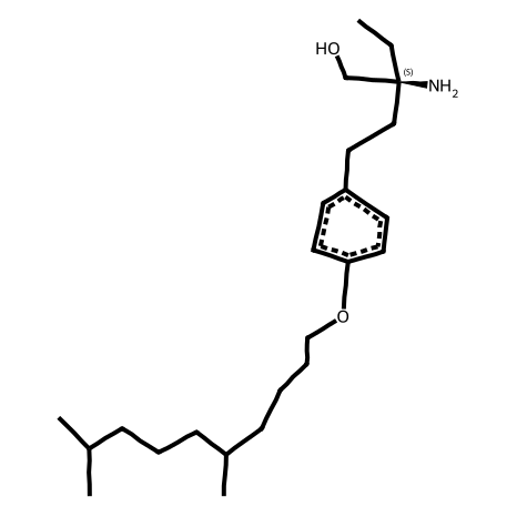 CC[C@@](N)(CO)CCc1ccc(OCCCCC(C)CCCC(C)C)cc1